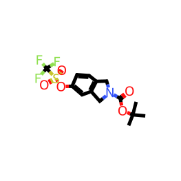 CC(C)(C)OC(=O)N1Cc2ccc(OS(=O)(=O)C(F)(F)F)cc2C1